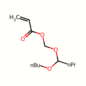 C=CC(=O)OCOC(CCC)OCCCC